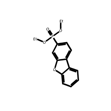 CCOP(=O)(OCC)c1ccc2c(c1)oc1ccccc12